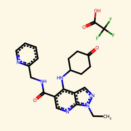 CCn1ncc2c(NC3CCC(=O)CC3)c(C(=O)NCc3ccccn3)cnc21.O=C(O)C(F)(F)F